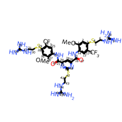 COc1cc(SCCNC(=N)N)c(C(F)(F)F)cc1NC(=O)c1cc(C(=O)Nc2cc(C(F)(F)F)c(SCCNC(=N)N)cc2OC)nc(SCCNC(=N)N)n1